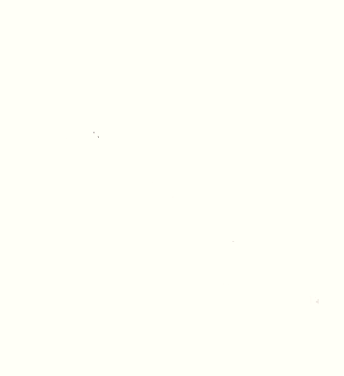 Brc1ccc(C(c2ccccc2)(c2ccccc2)c2ccc(-c3ccc4c(c3)c3ccccc3n4-c3ccccc3)cc2)cc1